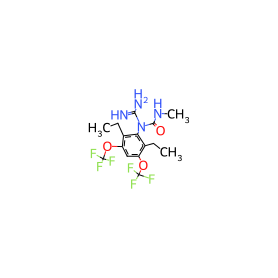 CCc1c(OC(F)(F)F)cc(OC(F)(F)F)c(CC)c1N(C(=N)N)C(=O)NC